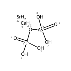 O=P(O)(O)O[As](=O)(O)O.[CaH2].[SrH2]